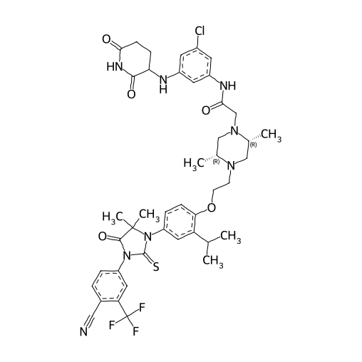 CC(C)c1cc(N2C(=S)N(c3ccc(C#N)c(C(F)(F)F)c3)C(=O)C2(C)C)ccc1OCCN1C[C@@H](C)N(CC(=O)Nc2cc(Cl)cc(NC3CCC(=O)NC3=O)c2)C[C@H]1C